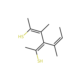 C\C=C(C)/C(C(/C)=C(/C)S)=C(/C)S